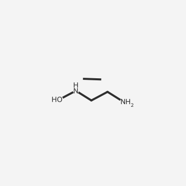 CC.NCCNO